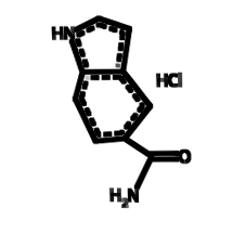 Cl.NC(=O)c1ccc2[nH]ccc2c1